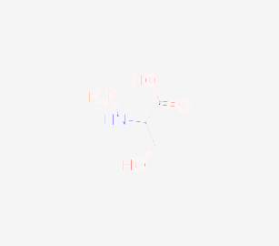 O=C(O)C(CO)NP